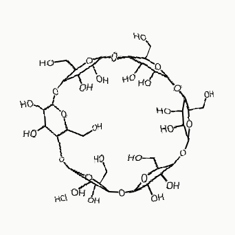 Cl.OCC1OC2OC3C(CO)OC(OC4C(CO)OC(OC5C(CO)OC(OC6C(CO)OC(OC7C(CO)OC(OC1C(O)C2O)C(O)C7O)C(O)C6O)C(O)C5O)C(O)C4O)C(O)C3O